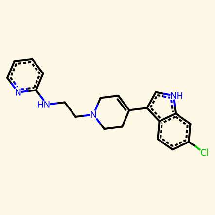 Clc1ccc2c(C3=CCN(CCNc4ccccn4)CC3)c[nH]c2c1